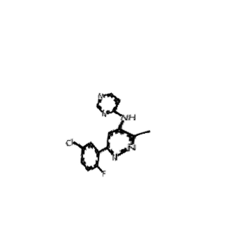 Cc1nnc(-c2cc(Cl)ccc2F)cc1Nc1ccncn1